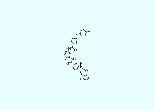 Cc1ccc(NC(=O)c2ccc(CN3CCN(C)CC3)cc2)cc1NC(=O)c1ccc2c(c1)NC(=O)/C2=C\c1ccc[nH]1